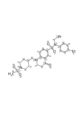 CCc1ccc(N(CC(C)C)S(=O)(=O)c2ccc3c(c2)C(=O)CCN3CC2CCN(S(C)(=O)=O)CC2)cc1